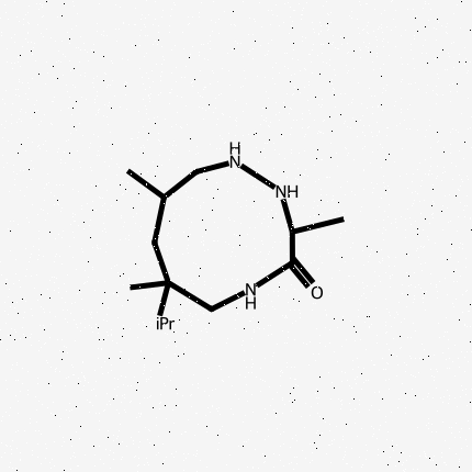 CC1CNNC(C)C(=O)NCC(C)(C(C)C)C1